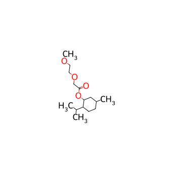 COCCOCC(=O)OC1CC(C)CCC1C(C)C